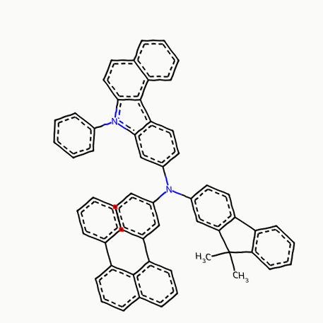 CC1(C)c2ccccc2-c2ccc(N(c3cccc(-c4cccc5cccc(-c6ccccc6)c45)c3)c3ccc4c5c6ccccc6ccc5n(-c5ccccc5)c4c3)cc21